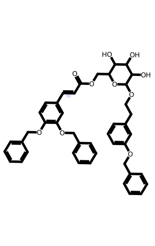 O=C(/C=C/c1ccc(OCc2ccccc2)c(OCc2ccccc2)c1)OCC1OC(OCCc2cccc(OCc3ccccc3)c2)C(O)C(O)C1O